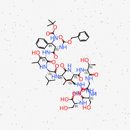 CC[C@H](C)[C@H](NC(=O)[C@@H](CCCNC(=N)N)NC(=O)[C@H](CC(C)C)NC(=O)[C@@H](NC(=O)[C@@H](NC(=O)OCc1ccccc1)[C@H](NC(=O)OC(C)(C)C)c1ccccc1)[C@H](O)C(C)C)C(=O)N[C@H](C(=O)NCC(=O)N[C@@H](CO)C(=O)N[C@@H](CO)C(=O)O)[C@H](C)O